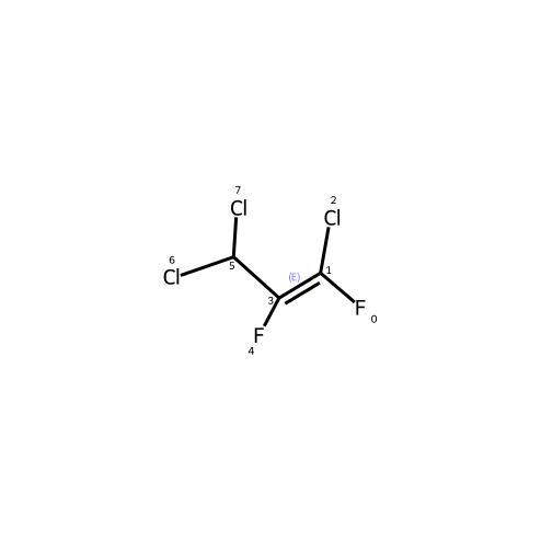 F/C(Cl)=C(\F)C(Cl)Cl